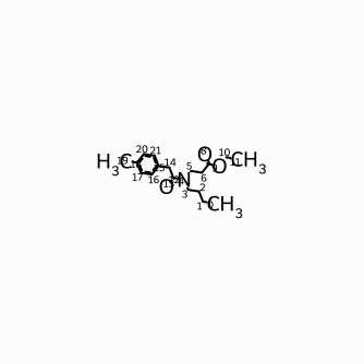 CCCCN(CCC(=O)OCC)C(=O)Cc1ccc(C)cc1